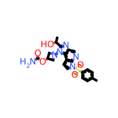 Cc1ccc(S(=O)(=O)n2ccc3c2ncc2nc(C(C)O)n(N4CC(OC(N)=O)C4)c23)cc1